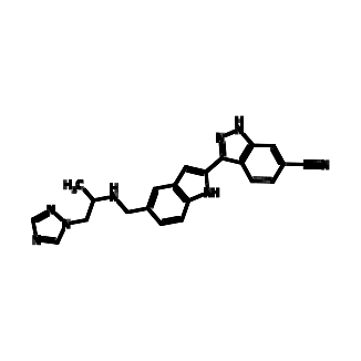 CC(Cn1cncn1)NCc1ccc2[nH]c(-c3n[nH]c4cc(C#N)ccc34)cc2c1